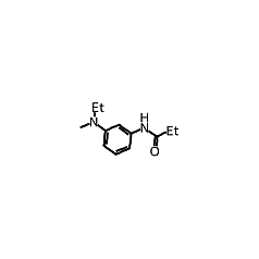 CCC(=O)Nc1cccc(N(C)CC)c1